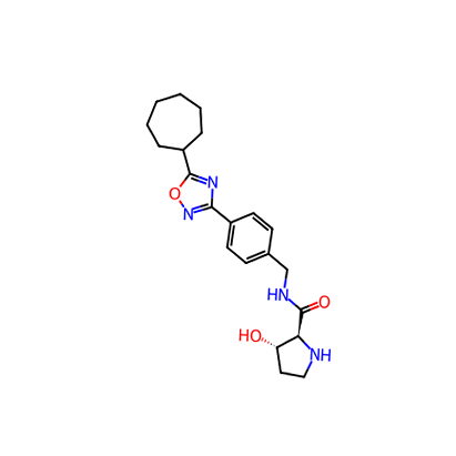 O=C(NCc1ccc(-c2noc(C3CCCCCC3)n2)cc1)[C@H]1NCC[C@@H]1O